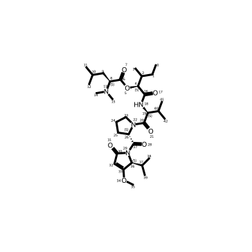 CCC(C)[C@H](OC(=O)[C@H](CC(C)C)N(C)C)C(=O)N[C@H](C(=O)N1CCC[C@H]1C(=O)N1C(=O)C=C(OC)[C@@H]1C(C)C)C(C)C